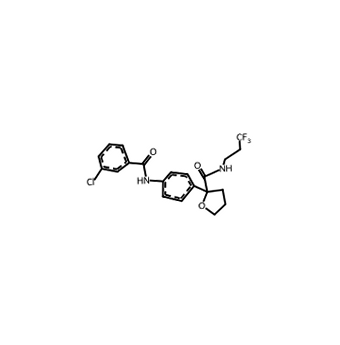 O=C(Nc1ccc(C2(C(=O)NCCC(F)(F)F)CCCO2)cc1)c1cccc(Cl)c1